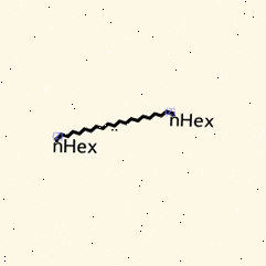 CCCCCC/C=C\CCCCCCCC[C]CCCCCCCC/C=C\CCCCCC